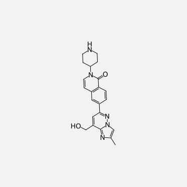 Cc1cn2nc(-c3ccc4c(=O)n(C5CCNCC5)ccc4c3)cc(CO)c2n1